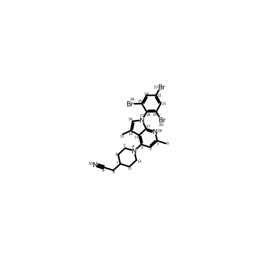 Cc1cc(N2CCC(CC#N)CC2)c2c(C)cn(-c3c(Br)cc(Br)cc3Br)c2n1